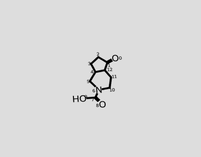 O=C1CCC2CN(C(=O)O)CCC12